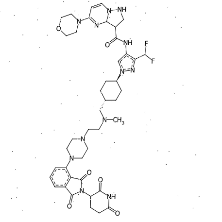 CN(CCN1CCN(c2cccc3c2C(=O)N(C2CCC(=O)NC2=O)C3=O)CC1)C[C@H]1CC[C@H](n2cc(NC(=O)C3CNN4C=CC(N5CCOCC5)=NC34)c(C(F)F)n2)CC1